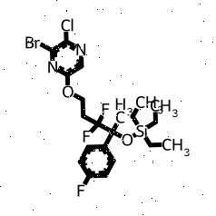 CC[Si](CC)(CC)OC(C)(c1ccc(F)cc1)C(F)(F)CCOc1cnc(Cl)c(Br)n1